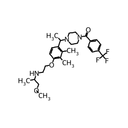 COCC(C)NCCOc1ccc(C(C)N2CCN(C(=O)c3ccc(C(F)(F)F)cc3)CC2)c(C)c1C